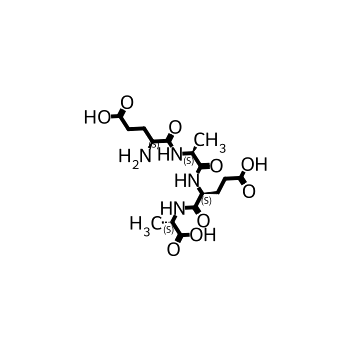 C[C@H](NC(=O)[C@H](CCC(=O)O)NC(=O)[C@H](C)NC(=O)[C@@H](N)CCC(=O)O)C(=O)O